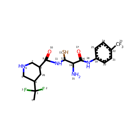 CC(F)(F)C1CNCC(C(=O)NC(S)C(N)C(=O)Nc2ccc(C(F)(F)F)cc2)C1